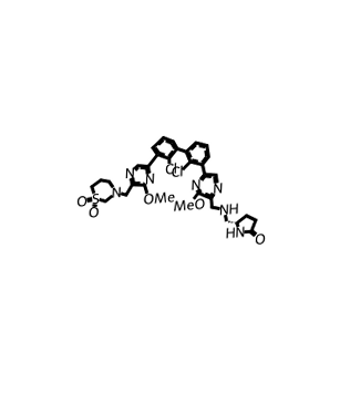 COc1nc(-c2cccc(-c3cccc(-c4cnc(CN5CCCS(=O)(=O)C5)c(OC)n4)c3Cl)c2Cl)cnc1CNC[C@@H]1CCC(=O)N1